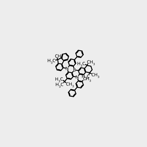 Cc1ccc(-c2ccccc2)cc1N1c2cc3c(cc2B2c4cc(-c5ccccc5)ccc4N(c4cccc5c4-c4ccccc4C5(C)C)c4cc(C(C)(C)C)cc1c42)C(C)(C)CCC3(C)C